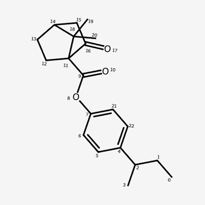 CCC(C)c1ccc(OC(=O)C23CCC(CC2=O)C3(C)C)cc1